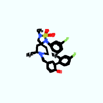 Cc1cc(F)ccc1-c1cc(CN2CC[C@@]3(C[C@@H]2C)CN(C)S(=O)(=O)N3c2cccc(F)c2)ccc1O